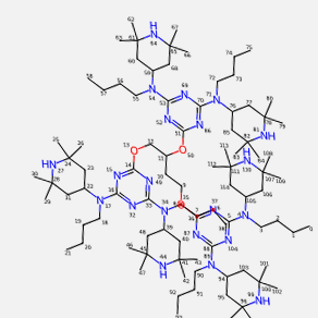 CCCCN(c1nc(OCCC(COc2nc(N(CCCC)C3CC(C)(C)NC(C)(C)C3)nc(N(CCCC)C3CC(C)(C)NC(C)(C)C3)n2)Oc2nc(N(CCCC)C3CC(C)(C)NC(C)(C)C3)nc(N(CCCC)C3CC(C)(C)NC(C)(C)C3)n2)nc(N(CCCC)C2CC(C)(C)NC(C)(C)C2)n1)C1CC(C)(C)NC(C)(C)C1